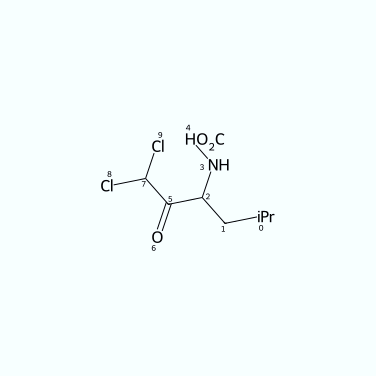 CC(C)CC(NC(=O)O)C(=O)C(Cl)Cl